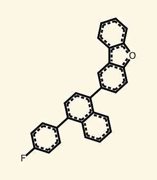 Fc1ccc(-c2ccc(-c3ccc4oc5ccccc5c4c3)c3ccccc23)cc1